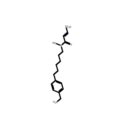 NCc1ccc(CCCCCCN(O)C(=O)/C=C/C(=O)O)cc1